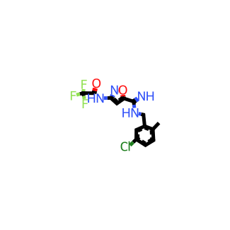 Cc1ccc(Cl)cc1CNC(=N)c1cc(NC(=O)C(F)(F)F)no1